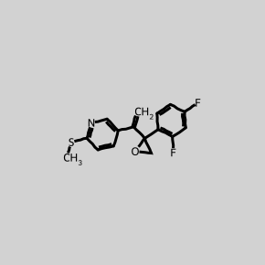 C=C(c1ccc(SC)nc1)C1(c2ccc(F)cc2F)CO1